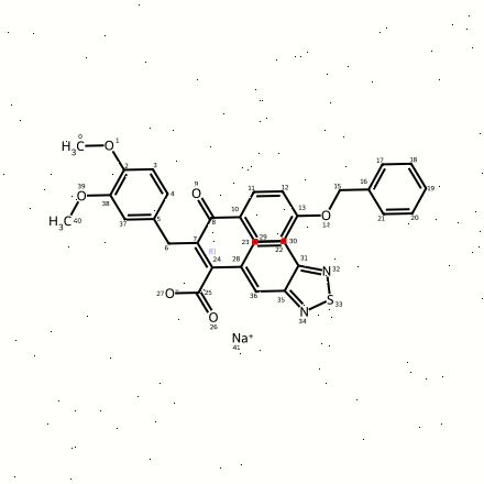 COc1ccc(C/C(C(=O)c2ccc(OCc3ccccc3)cc2)=C(\C(=O)[O-])c2ccc3nsnc3c2)cc1OC.[Na+]